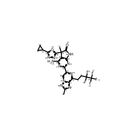 Cc1nc2c(CCC(F)(F)C(F)(F)F)nc(-c3nc(N)c4c(n3)NC(=O)C4(C)c3nnc(C4CC4)o3)cn2n1